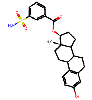 C[C@]12CCC3c4ccc(O)cc4CCC3C1CC[C@@H]2OC(=O)c1cccc(S(N)(=O)=O)c1